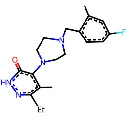 CCc1n[nH]c(=O)c(N2CCN(Cc3ccc(F)cc3C)CC2)c1C